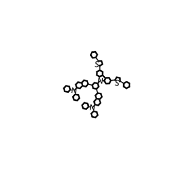 c1ccc(-c2ccc(-c3ccc4c(c3)c3cc(-c5ccc(-c6ccccc6)s5)ccc3n4-c3cc(-c4ccc5ccc(N(c6ccccc6)c6ccccc6)cc5c4)cc(-c4ccc5ccc(N(c6ccccc6)c6ccccc6)cc5c4)c3)s2)cc1